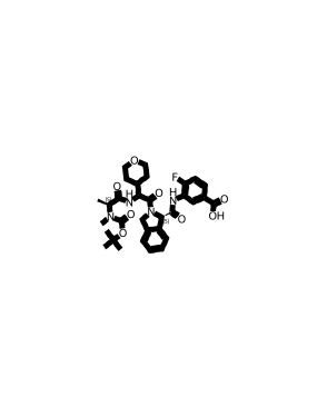 C[C@@H](C(=O)NC(C(=O)N1Cc2ccccc2[C@H]1C(=O)Nc1cc(C(=O)O)ccc1F)C1CCOCC1)N(C)C(=O)OC(C)(C)C